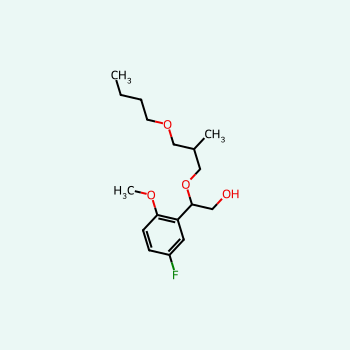 CCCCOCC(C)COC(CO)c1cc(F)ccc1OC